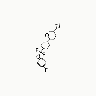 Fc1ccc(OC(F)(F)C2CCC(C3CCC(C4CCC4)CO3)CC2)cc1